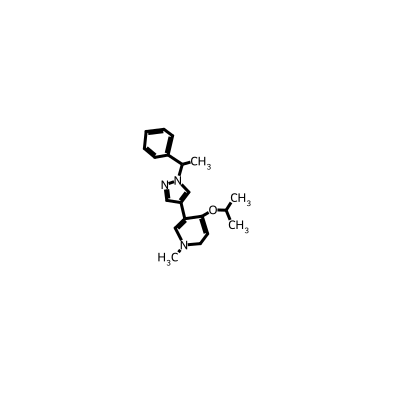 CC(C)OC1=CCN(C)C=C1c1cnn(C(C)c2ccccc2)c1